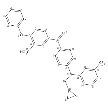 O=C(c1ccc(Oc2ccccc2)c(C(=O)O)c1)c1ccc(N(CC2CC2)c2cccc(C(F)(F)F)c2)cn1